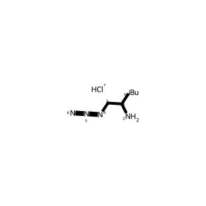 CCC(C)C(N)CN=[N+]=[N-].Cl